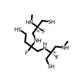 CNC[C@@](F)(CS)NCC(F)(CCS)NC[C@@](F)(CS)NC